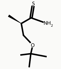 C[C@H](COC(C)(C)C)C(N)=S